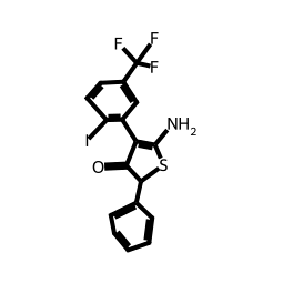 NC1=C(c2cc(C(F)(F)F)ccc2I)C(=O)C(c2ccccc2)S1